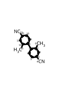 Cc1cc(C#N)ccc1-c1ccc(C#N)cc1C